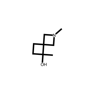 CN1CC2(CCC2(C)O)C1